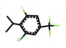 CC(C)c1c(F)cc(C(F)(F)F)cc1Cl